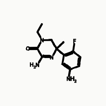 CCN1CC(C)(c2cc(N)ccc2F)N=C(N)C1=O